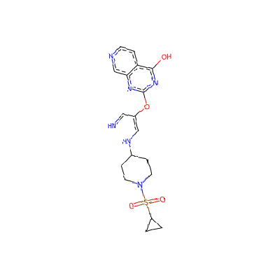 N=C/C(=C\NC1CCN(S(=O)(=O)C2CC2)CC1)Oc1nc(O)c2ccncc2n1